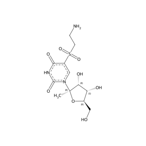 C[C@@]1(n2cc(S(=O)(=O)CCN)c(=O)[nH]c2=O)O[C@H](CO)[C@@H](O)[C@H]1O